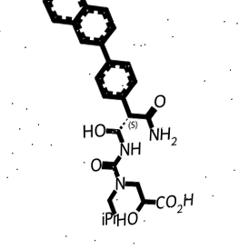 CC(C)CN(CC(O)C(=O)O)C(=O)NC(O)[C@@H](C(N)=O)c1ccc(-c2ccc3ccccc3c2)cc1